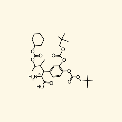 CC(OC(=O)OC1CCCCC1)C(C)C(c1ccc(OC(=O)OCC(C)(C)C)c(OC(=O)OCC(C)(C)C)c1)[C@H](N)C(=O)O